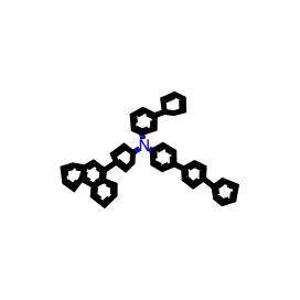 C1=CCC(c2cccc(N(c3ccc(-c4ccc(-c5ccccc5)cc4)cc3)C3C=CC(c4cc5ccccc5c5ccccc45)=CC3)c2)C=C1